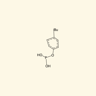 CCC(C)c1ccc(OP(O)O)cc1